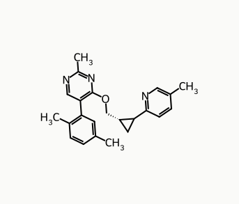 Cc1ccc(C2C[C@@H]2COc2nc(C)ncc2-c2cc(C)ccc2C)nc1